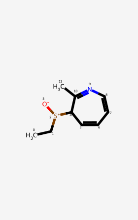 CC[S+]([O-])C1C=CC=CN=C1C